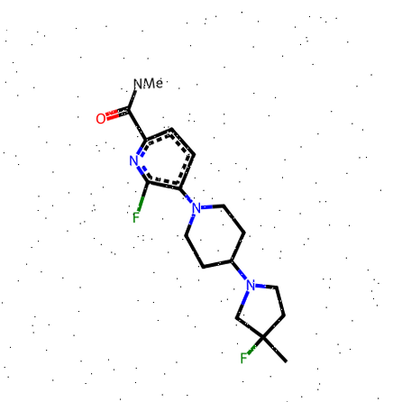 CNC(=O)c1ccc(N2CCC(N3CCC(C)(F)C3)CC2)c(F)n1